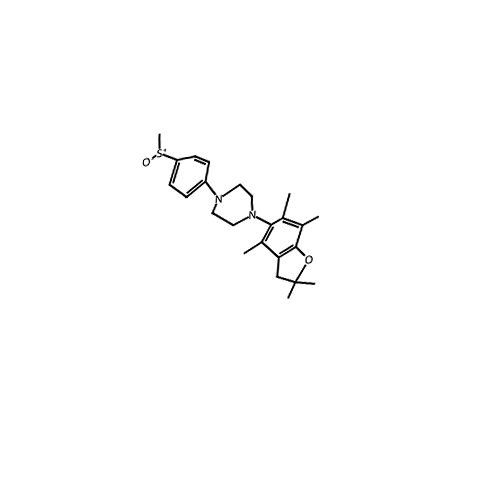 Cc1c(C)c(N2CCN(c3ccc([S+](C)[O-])cc3)CC2)c(C)c2c1OC(C)(C)C2